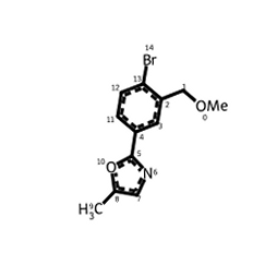 COCc1cc(-c2ncc(C)o2)ccc1Br